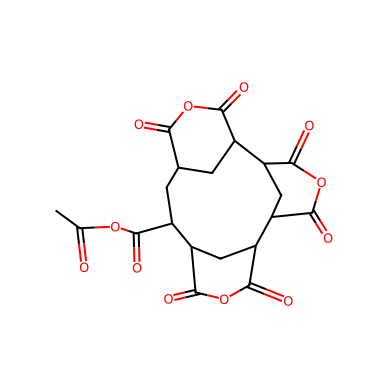 CC(=O)OC(=O)C1CC2CC(C(=O)OC2=O)C2CC(C(=O)OC2=O)C2CC1C(=O)OC2=O